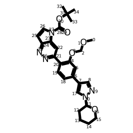 COCOc1cc(-c2cnn(C3CCCCO3)c2)ccc1-c1cc2c(ccn2C(=O)OC(C)(C)C)nn1